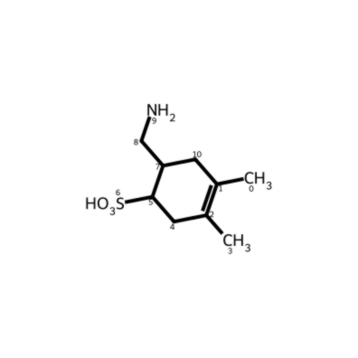 CC1=C(C)CC(S(=O)(=O)O)C(CN)C1